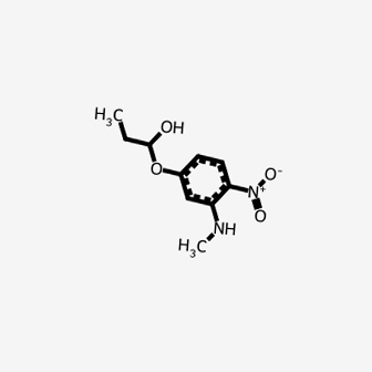 CCC(O)Oc1ccc([N+](=O)[O-])c(NC)c1